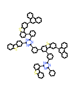 c1ccc(-c2nc(-c3cccc(-c4cc(-c5cccc(-c6nc(-c7ccc8c(c7)sc7ccccc78)nc(-c7ccccc7-c7cccc8sc9ccc(-c%10cc%11ccccc%11c%11ccccc%10%11)cc9c78)n6)c5)cc5sc6ccc(-c7cc8ccccc8c8ccccc78)cc6c45)c3)nc(-c3cccc4sc5ccccc5c34)n2)cc1